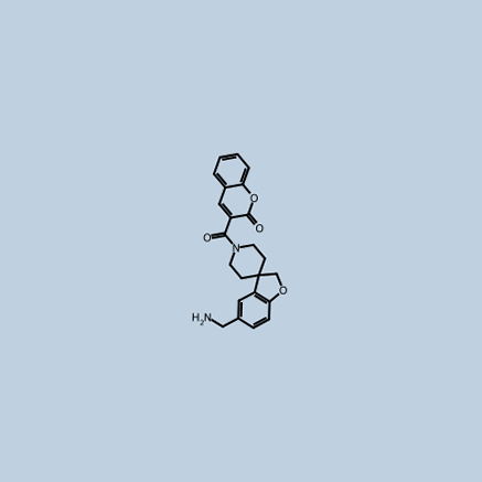 NCc1ccc2c(c1)C1(CCN(C(=O)c3cc4ccccc4oc3=O)CC1)CO2